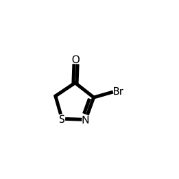 O=C1CSN=C1Br